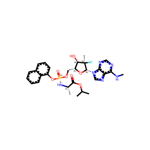 CNc1ncnc2c1ncn2[C@@H]1O[C@H](CO[P@@](=O)(N[C@@H](C)C(=O)OC(C)C)Oc2cccc3ccccc23)[C@@H](O)[C@@]1(C)F